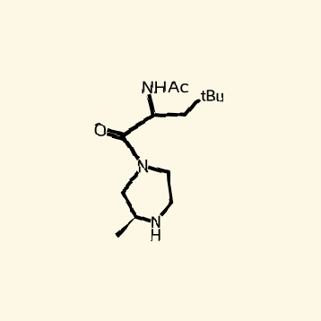 CC(=O)NC(CC(C)(C)C)C(=O)N1CCN[C@@H](C)C1